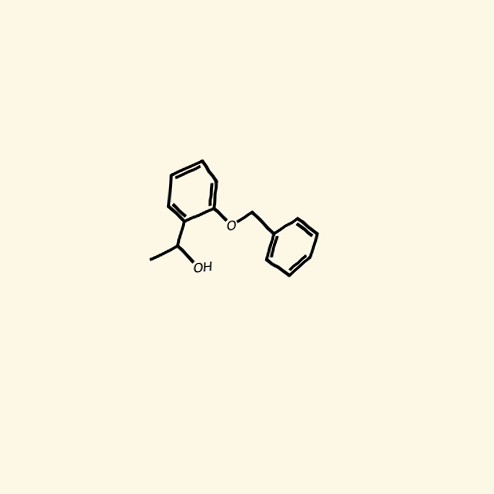 CC(O)c1ccccc1OCc1ccccc1